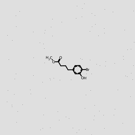 COC(=O)CCCc1ccc(Br)c(O)c1